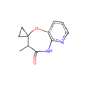 CC1C(=O)Nc2ncccc2OC12CC2